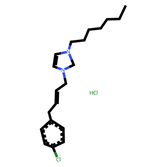 CCCCCCCN1C=CN(CC=CCc2ccc(Cl)cc2)C1.Cl